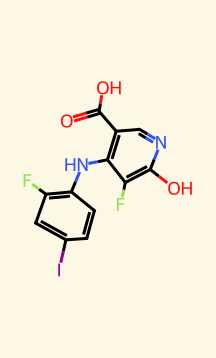 O=C(O)c1cnc(O)c(F)c1Nc1ccc(I)cc1F